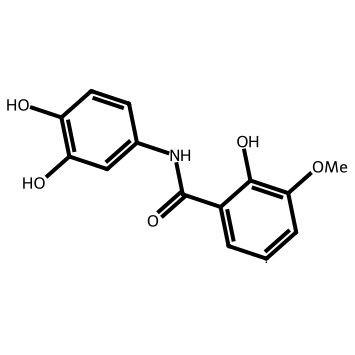 COc1c[c]cc(C(=O)Nc2ccc(O)c(O)c2)c1O